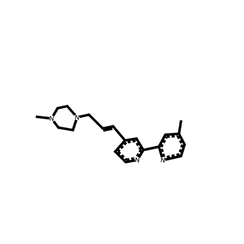 Cc1ccnc(-c2cc(/C=C/CN3CCN(C)CC3)ccn2)c1